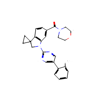 COc1ccccc1-c1cnc(N2CC3(CC3)c3ccc(C(=O)N4CCOCC4)cc32)nc1